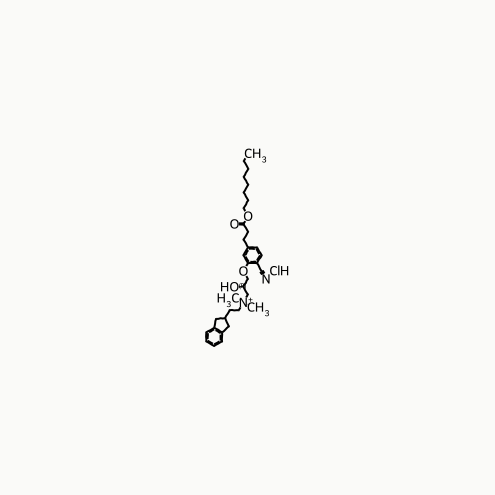 CCCCCCCCOC(=O)CCc1ccc(C#N)c(OC[C@H](O)C[N+](C)(C)CCC2Cc3ccccc3C2)c1.Cl